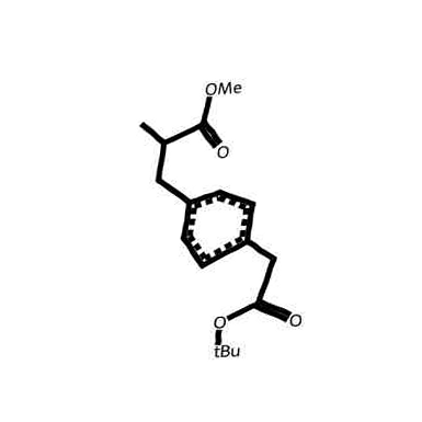 COC(=O)C(C)Cc1ccc(CC(=O)OC(C)(C)C)cc1